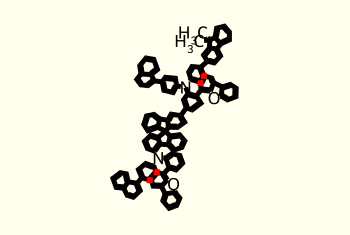 CC1(C)c2ccccc2-c2ccc(-c3ccc(N(c4ccc(-c5cccc6ccccc56)cc4)c4cc(-c5ccc6c(c5)-c5ccccc5C65c6ccccc6-c6c(N(c7ccc(-c8cccc9ccccc89)cc7)c7ccccc7-c7cccc8c7oc7ccccc78)cccc65)ccc4-c4cccc5c4oc4ccccc45)cc3)cc21